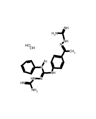 CC(=O)N(C(=NNC(=N)N)Nc1ccc(C(C)=NNC(=N)N)cc1)c1ccccc1.Cl.Cl